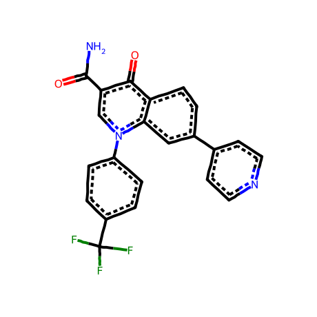 NC(=O)c1cn(-c2ccc(C(F)(F)F)cc2)c2cc(-c3ccncc3)ccc2c1=O